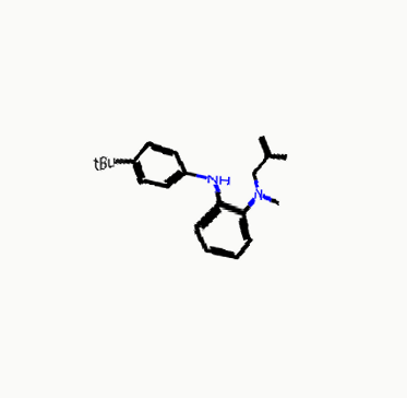 C=C(C)CN(C)c1ccccc1Nc1ccc(C(C)(C)C)cc1